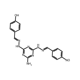 Nc1nc(N/N=C/c2ccc(O)cc2)nc(N/N=C/c2ccc(N=O)cc2)n1